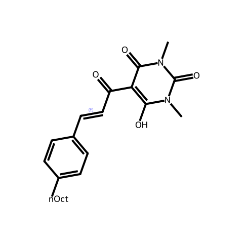 CCCCCCCCc1ccc(/C=C/C(=O)c2c(O)n(C)c(=O)n(C)c2=O)cc1